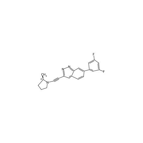 C[C@@H]1CCCN1C#Cc1cc2ccc(-c3cc(F)cc(F)c3)cc2nn1